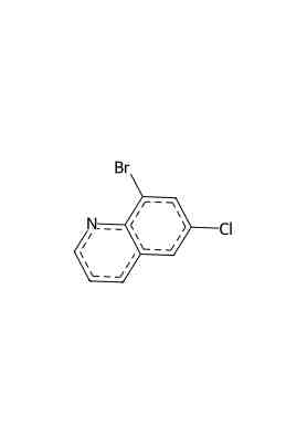 Clc1cc(Br)c2ncccc2c1